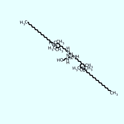 CCCCCCCCCCCCCCCCCCON1C(C)(C)CC(CCCCNc2nc(NCCO)nc(NCCCCC3CC(C)(C)N(OCCCCCCCCCCCCCCCCCC)C(C)(C)C3)n2)CC1(C)C